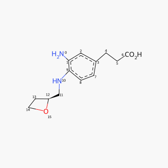 Nc1cc(CCC(=O)O)ccc1NC[C@@H]1CCO1